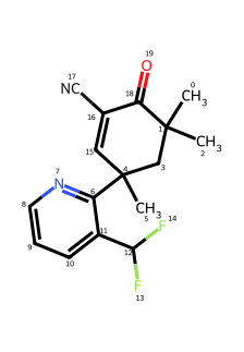 CC1(C)CC(C)(c2ncccc2C(F)F)C=C(C#N)C1=O